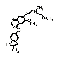 COCCN(C)CCOc1cc2ncnc(Oc3ccc4[nH]c(C)cc4c3)c2cc1OC